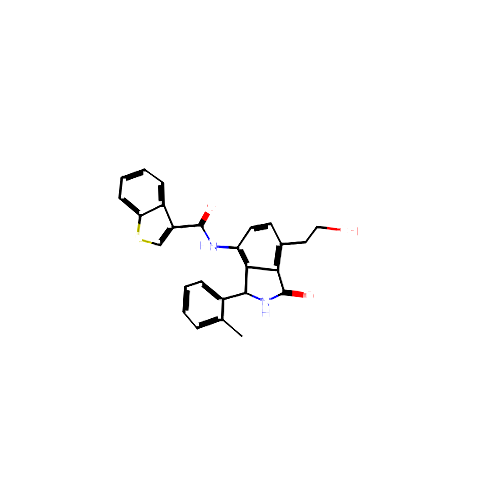 Cc1ccccc1C1NC(=O)c2c(CCO)ccc(NC(=O)c3csc4ccccc34)c21